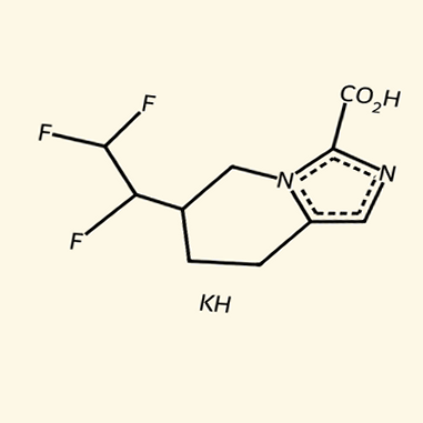 O=C(O)c1ncc2n1CC(C(F)C(F)F)CC2.[KH]